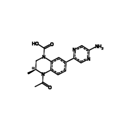 CC(=O)N1c2ccc(-c3cnc(N)cn3)cc2N(C(=O)O)C[C@@H]1C